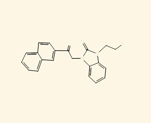 N=c1n(CCN)c2ccccc2n1CC(=O)c1ccc2ccccc2c1